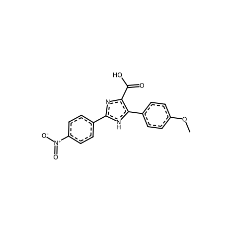 COc1ccc(-c2[nH]c(-c3ccc([N+](=O)[O-])cc3)nc2C(=O)O)cc1